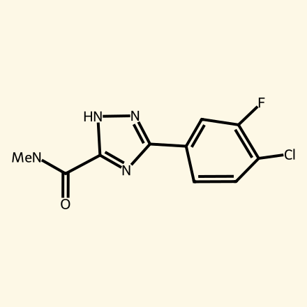 CNC(=O)c1nc(-c2ccc(Cl)c(F)c2)n[nH]1